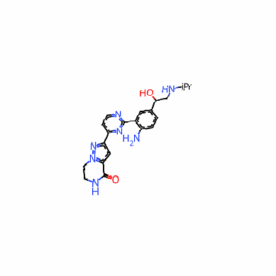 CC(C)NCC(O)c1ccc(N)c(-c2nccc(-c3cc4n(n3)CCNC4=O)n2)c1